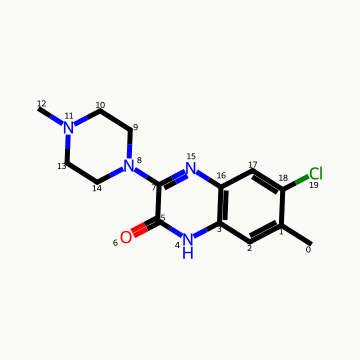 Cc1cc2[nH]c(=O)c(N3CCN(C)CC3)nc2cc1Cl